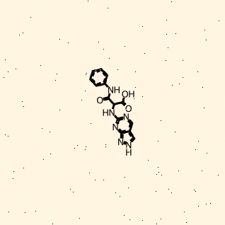 O=C(O)C(Nc1ncc2c[nH]nc2n1)C(=O)Nc1ccccc1